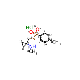 CNC1(CSS(=O)(=O)c2ccc(C)cc2)CC1.Cl